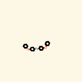 c1ccc(Oc2cc[c]([Pt][c]3ccc(Oc4ccccc4)cc3)cc2)cc1